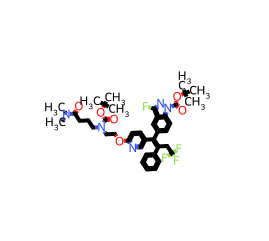 CN(C)C(=O)CCCN(CCOc1ccc(/C(=C(/CC(F)(F)F)c2ccccc2)c2ccc3c(c2)c(F)nn3C(=O)OC(C)(C)C)cn1)C(=O)OC(C)(C)C